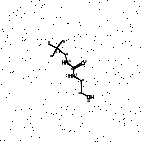 CC(C)(C)CNC(=O)NCCO